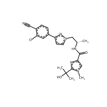 C[C@@H](Cn1ccc(-c2ccc(C#N)c(Cl)c2)n1)NC(=O)c1cn(C)c(C(C)(C)O)n1